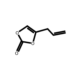 C=CCc1coc(=O)o1